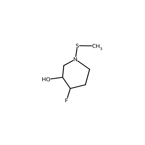 CSN1CCC(F)C(O)C1